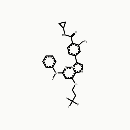 Cc1cc(-c2cnc3c(NCCC(F)(F)F)cc([S+]([O-])c4ccccc4)nn23)ccc1C(=O)NC1CC1